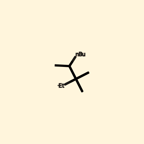 C[CH]C(C)(C)C(C)CCCC